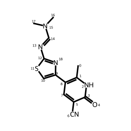 Cc1[nH]c(=O)c(C#N)cc1-c1csc(N=CN(C)C)n1